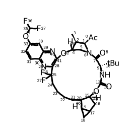 CC(=O)[C@@H]1[C@H](C)[C@@H]2CN1C(=O)[C@H](C(C)(C)C)NC(=O)O[C@@H]1CC3CC3[C@H]1CCCCC(F)(F)c1nc3ccc(OC(F)F)cc3nc1O2